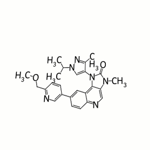 COCc1ccc(-c2ccc3ncc4c(c3c2)n(-c2cn(C(C)C)nc2C)c(=O)n4C)cn1